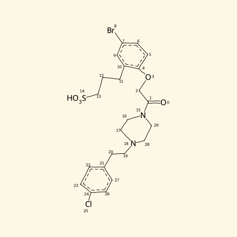 O=C(COc1ccc(Br)cc1CCCS(=O)(=O)O)N1CCN(CCc2ccc(Cl)cc2)CC1